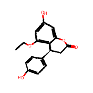 CCOc1cc(O)cc2c1[C@H](c1ccc(O)cc1)CC(=O)O2